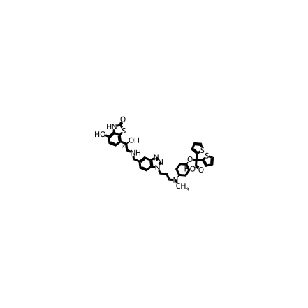 CN(CCCn1nnc2cc(CNC[C@H](O)c3ccc(O)c4[nH]c(=O)sc34)ccc21)[C@H]1CC[C@H](OC(C(=O)O)(c2cccs2)c2cccs2)CC1